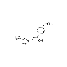 C=Cc1ccc(C(O)CCn2ccc(C)c2)cc1